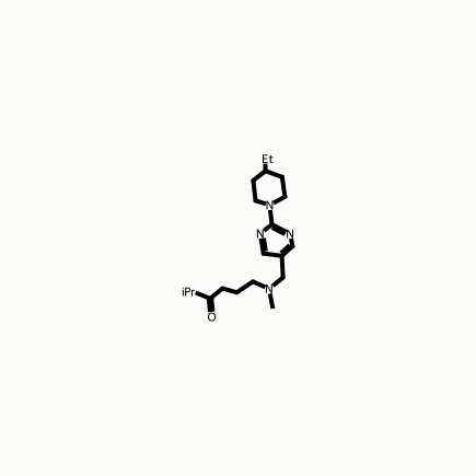 CCC1CCN(c2ncc(CN(C)CCCC(=O)C(C)C)cn2)CC1